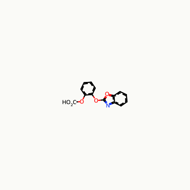 O=C(O)Oc1ccccc1Oc1nc2ccccc2o1